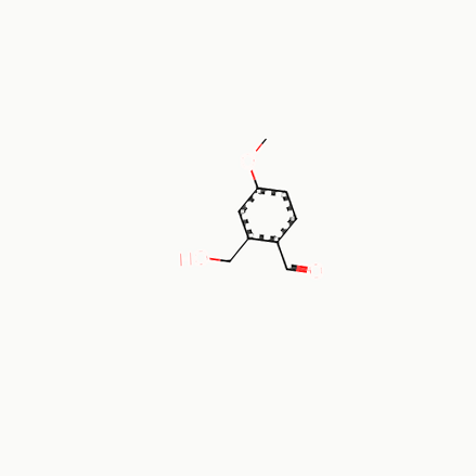 COc1ccc(C=O)c(CO)c1